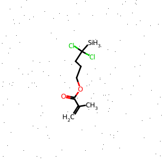 C=C(C)C(=O)OCCCC([SiH3])(Cl)Cl